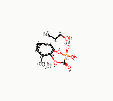 CCOC(=O)c1ccccc1OC(=O)P(=O)(O)O.OC[CH2][Na]